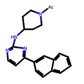 CC(=O)N1CCC(Nc2nccc(-c3ccc4ccccc4c3)n2)CC1